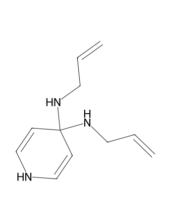 C=CCNC1(NCC=C)C=CNC=C1